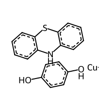 Oc1ccc(O)cc1.[Cu].c1ccc2c(c1)Nc1ccccc1S2